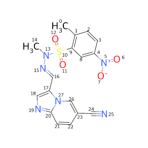 Cc1ccc([N+](=O)[O-])cc1S(=O)(=O)N(C)/N=C/c1cnc2ccc(C#N)cn12